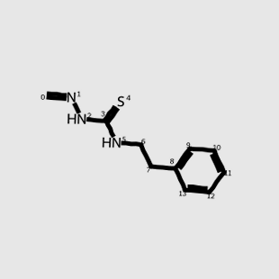 C=NNC(=S)NCCc1ccccc1